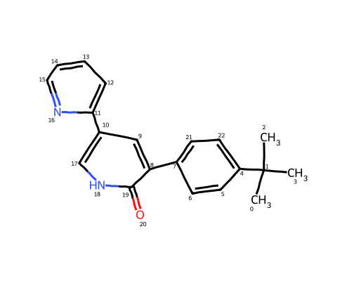 CC(C)(C)c1ccc(-c2cc(-c3ccccn3)c[nH]c2=O)cc1